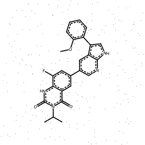 COc1ccccc1-c1c[nH]c2ncc(-c3cc(F)c4[nH]c(=O)n(C(C)C)c(=O)c4c3)cc12